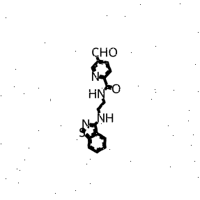 O=Cc1ccc(C(=O)NCCNc2nsc3ccccc23)nc1